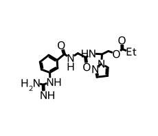 CCC(=O)OCC(NC(=O)CNC(=O)c1cccc(NC(=N)N)c1)n1cccn1